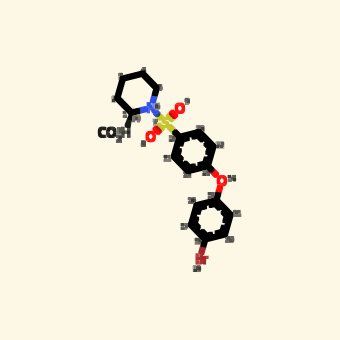 O=C(O)[C@H]1CCCCN1S(=O)(=O)c1ccc(Oc2ccc(Br)cc2)cc1